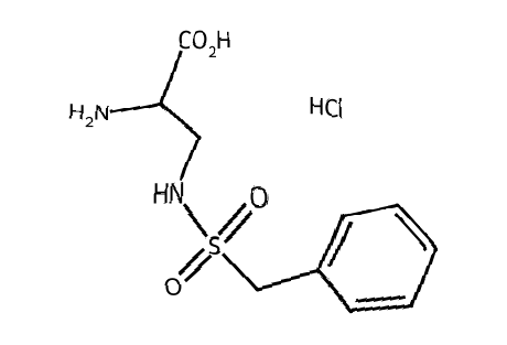 Cl.NC(CNS(=O)(=O)Cc1ccccc1)C(=O)O